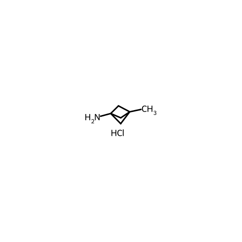 CC12CC(N)(C1)C2.Cl